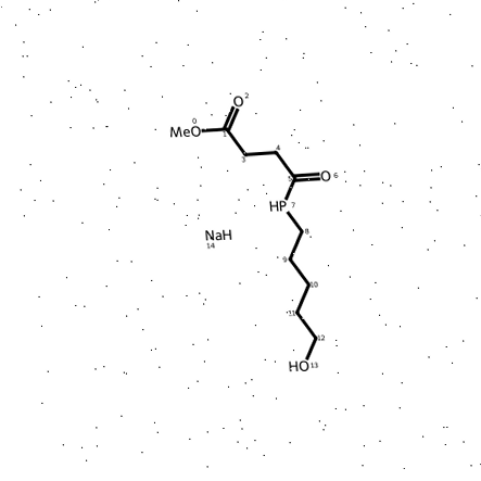 COC(=O)CCC(=O)PCCCCCO.[NaH]